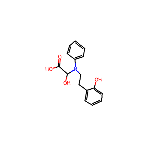 O=C(O)C(O)N(CCc1ccccc1O)c1ccccc1